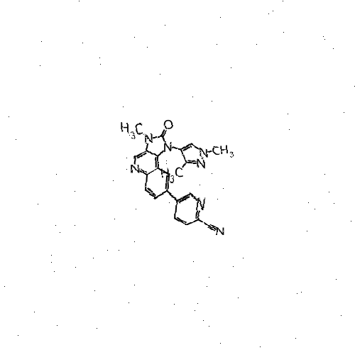 Cc1nn(C)cc1-n1c(=O)n(C)c2cnc3ccc(-c4ccc(C#N)nc4)cc3c21